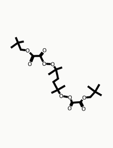 CC(C)(C)COC(=O)C(=O)OOC(C)(C)CCC(C)(C)OOC(=O)C(=O)OCC(C)(C)C